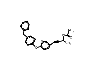 CC(C#Cc1ccc(Oc2ccc(Cc3ccccc3)cc2)nc1)NC(N)=O